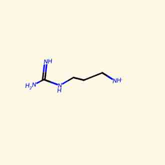 [NH]CCCNC(=N)N